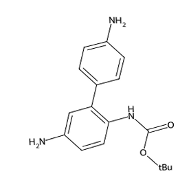 CC(C)(C)OC(=O)Nc1ccc(N)cc1-c1ccc(N)cc1